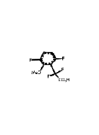 COc1c(F)ccc(F)c1C(F)(F)C(=O)O